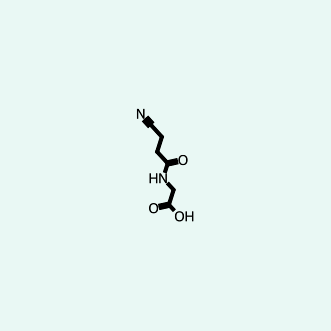 N#CCCC(=O)NCC(=O)O